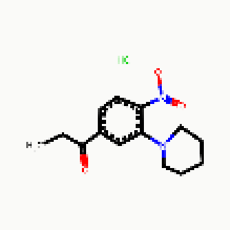 CCC(=O)c1ccc([N+](=O)[O-])c(N2CCCCC2)c1.Cl